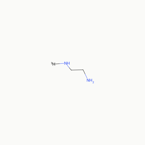 [3H]NCCN